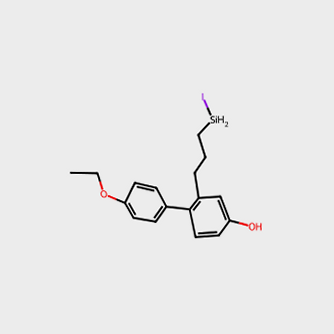 CCOc1ccc(-c2ccc(O)cc2CCC[SiH2]I)cc1